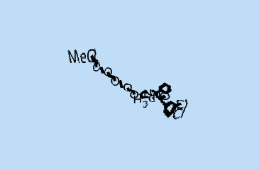 COCCOCCOCCOCCOCCO[C@H]1CCN(CC(c2ccccc2)N(C)C(=O)Cc2ccc(Cl)c(Cl)c2)C1